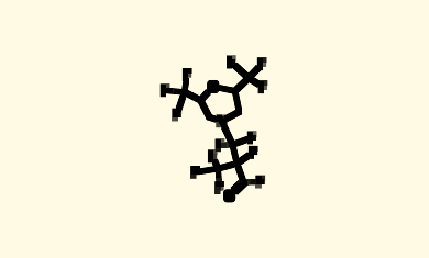 O=C(F)C(F)(C(F)(F)F)C(F)(F)N1CC(C(F)(F)F)OC(C(F)(F)F)C1